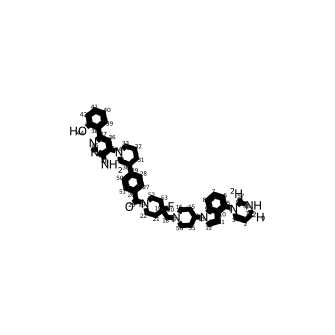 [2H]C1C=CN(c2cccc3c2ccn3C2CCN(CC3(F)CCN(C(=O)c4ccc(C5CCCN(c6cc(-c7ccccc7O)nnc6N)C5)cc4)CC3)CC2)C([2H])N1